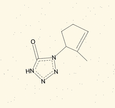 CC1=CCCC1n1nn[nH]c1=O